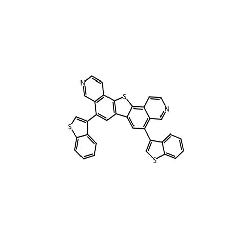 c1ccc2c(-c3cc4c5cc(-c6csc7ccccc67)c6cnccc6c5sc4c4ccncc34)csc2c1